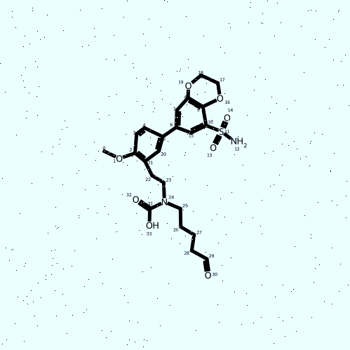 COc1ccc(-c2cc3c(c(S(N)(=O)=O)c2)OCCO3)cc1CCN(CCCCC=O)C(=O)O